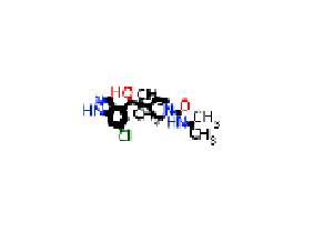 CC(C)NC(=O)N1CCC(C(C)(C)C(O)c2cc(Cl)cc3[nH]ncc23)CC1